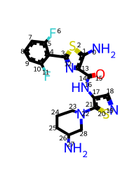 Nc1sc(-c2c(F)cccc2F)nc1C(=O)Nc1cnsc1N1CCCC(N)C1